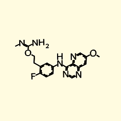 C/N=C(/N)OCCc1cc(Nc2ncnc3cc(OC)cnc23)ccc1F